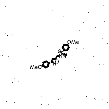 COc1ccc(-c2cc(CNS(=O)(=O)c3ccc(OC)cc3)on2)cc1